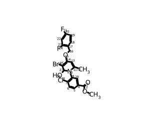 COC(=O)c1ccc(Cl)c(N2C(C)=CC(OCc3ccc(F)cc3F)=C(Br)C2O)c1